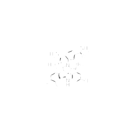 CC(C)(C)C[C@@H]1N(c2cc(C(N)=O)ccc2C(N)=O)[C@@H](C(=O)O)[C@H](c2ccc(F)c(Cl)c2)C12C(=O)Nc1cc(Cl)ccc12